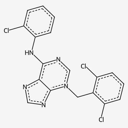 Clc1ccccc1Nc1ncn(Cc2c(Cl)cccc2Cl)c2ncnc1-2